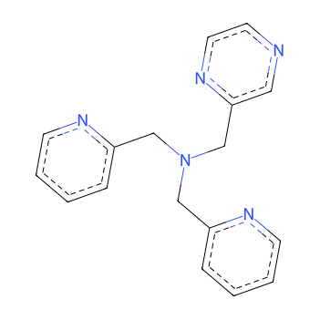 c1ccc(CN(Cc2ccccn2)Cc2cnccn2)nc1